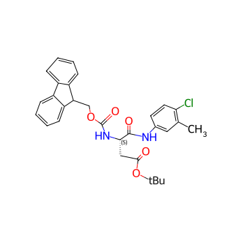 Cc1cc(NC(=O)[C@H](CC(=O)OC(C)(C)C)NC(=O)OCC2c3ccccc3-c3ccccc32)ccc1Cl